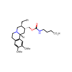 COc1cc2c(cc1OC)[C@H]1C[C@@H](COC(=O)NCCCC(=O)O)[C@H](CC(C)C)CN1CC2